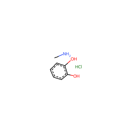 CN.Cl.Oc1ccccc1O